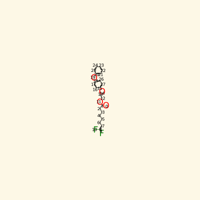 O=C(CCCCCC=C(F)F)OCCOc1ccc(Oc2ccccc2)cc1